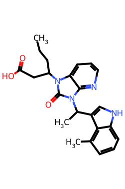 CCCC(CC(=O)O)n1c(=O)n(C(C)c2c[nH]c3cccc(C)c23)c2ncccc21